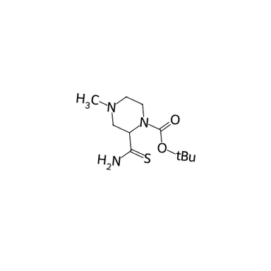 CN1CCN(C(=O)OC(C)(C)C)C(C(N)=S)C1